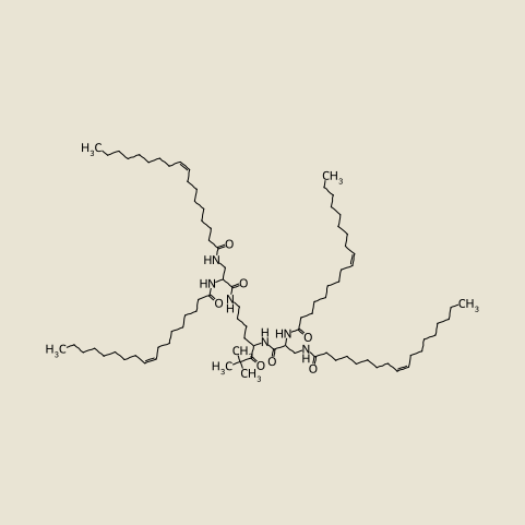 CCCCCCCC/C=C\CCCCCCCC(=O)NCC(NC(=O)CCCCCCC/C=C\CCCCCCCC)C(=O)NCCCCC(NC(=O)C(CNC(=O)CCCCCCC/C=C\CCCCCCCC)NC(=O)CCCCCCC/C=C\CCCCCCCC)C(=O)C(C)(C)C